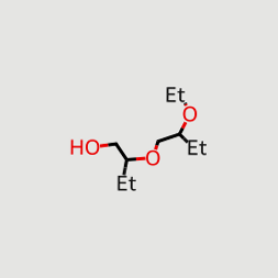 CCOC(CC)COC(CC)CO